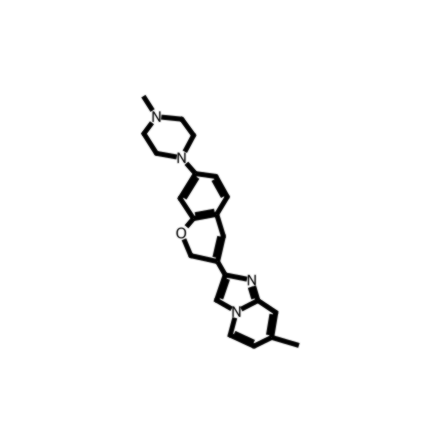 Cc1ccn2cc(C3=Cc4ccc(N5CCN(C)CC5)cc4OC3)nc2c1